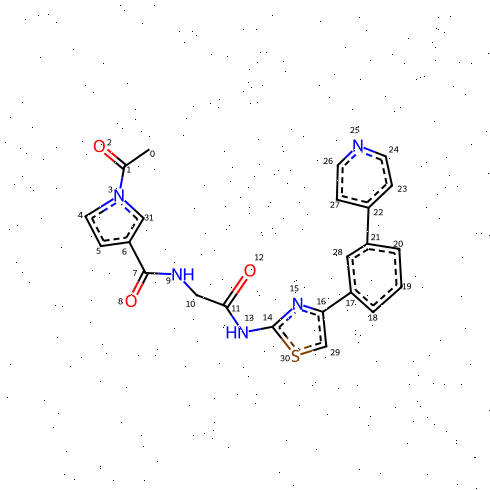 CC(=O)n1ccc(C(=O)NCC(=O)Nc2nc(-c3cccc(-c4ccncc4)c3)cs2)c1